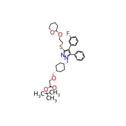 CC(C)(C)OC(=O)COC[C@H]1CC[C@@H](Cn2nc(SCCOC3CCCCO3)c(-c3cccc(F)c3)c2-c2ccccc2)CC1